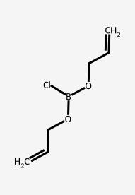 C=CCOB(Cl)OCC=C